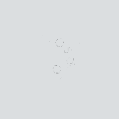 C=Cc1cccc(Oc2c(C(=O)NC(C)c3ccc(C(=O)OC)cc3)c(C(F)F)nn2C)c1